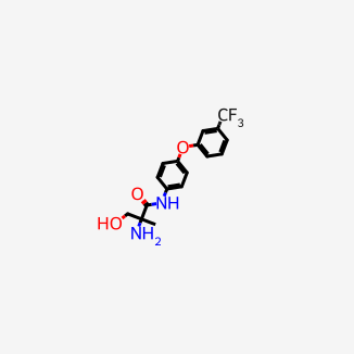 CC(N)(CO)C(=O)Nc1ccc(Oc2cccc(C(F)(F)F)c2)cc1